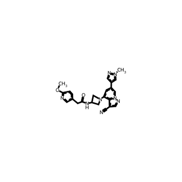 COc1ccc(CC(=O)NC2CN(c3cc(-c4cnn(C)c4)cn4ncc(C#N)c34)C2)cn1